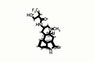 CN1CC(NC(=O)C(CO)CC(F)(F)F)CC2c3cccc4[nH]c(Br)c(c34)C[C@H]21